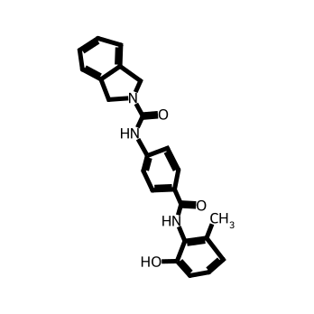 Cc1cccc(O)c1NC(=O)c1ccc(NC(=O)N2Cc3ccccc3C2)cc1